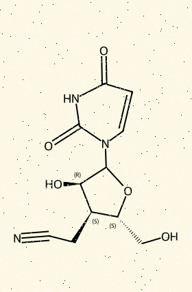 N#CC[C@@H]1[C@@H](CO)OC(n2ccc(=O)[nH]c2=O)[C@@H]1O